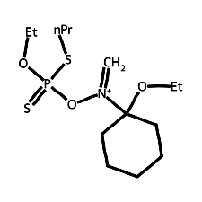 C=[N+](OP(=S)(OCC)SCCC)C1(OCC)CCCCC1